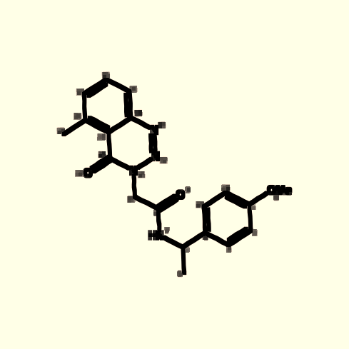 COc1ccc(C(C)NC(=O)Cn2nnc3cccc(C)c3c2=O)cc1